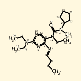 [CH2]CCC=Nc1nc(N(CC)CC)ncc1N(CC)C(=O)N(C)C1CCCC1